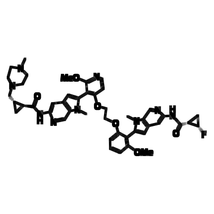 COc1cccc(OCCOc2ccnc(OC)c2-c2cc3cc(NC(=O)[C@H]4C[C@@H]4CN4CCN(C)CC4)ncc3n2C)c1-c1cc2cc(NC(=O)[C@@H]3C[C@@H]3F)ncc2n1C